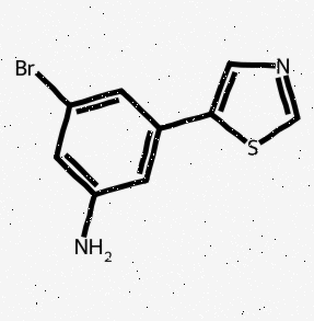 Nc1cc(Br)cc(-c2cncs2)c1